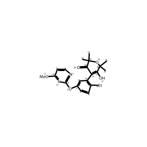 CCc1ccc(Oc2nccc(OC)n2)cc1C1=C(O)C(C)(C)OC(C)(C)C1=O